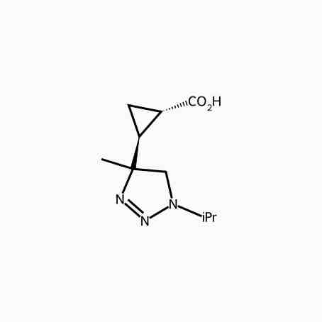 CC(C)N1CC(C)([C@H]2C[C@@H]2C(=O)O)N=N1